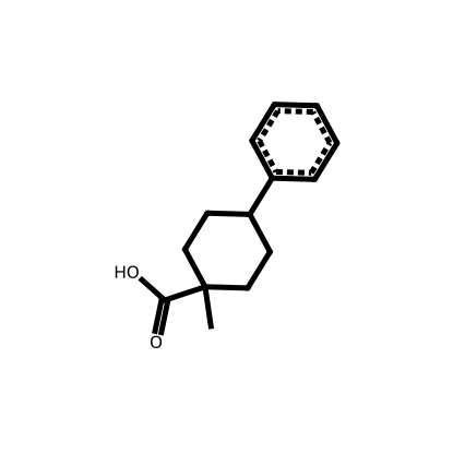 CC1(C(=O)O)CCC(c2ccccc2)CC1